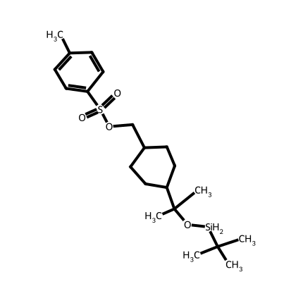 Cc1ccc(S(=O)(=O)OCC2CCC(C(C)(C)O[SiH2]C(C)(C)C)CC2)cc1